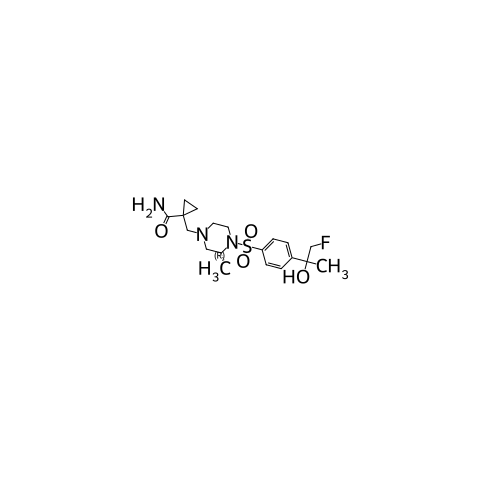 C[C@@H]1CN(CC2(C(N)=O)CC2)CCN1S(=O)(=O)c1ccc(C(C)(O)CF)cc1